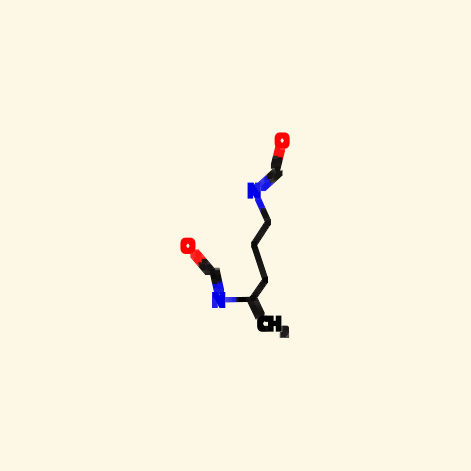 C=C(CCCN=C=O)N=C=O